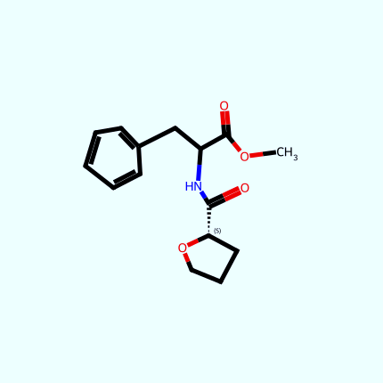 COC(=O)C(Cc1ccccc1)NC(=O)[C@@H]1CCCO1